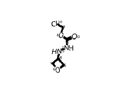 O=C(NNC1COC1)OCCl